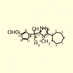 Cn1c(C2CCCCCC2)nnc1C(C)(C)n1ccc(C=O)c1